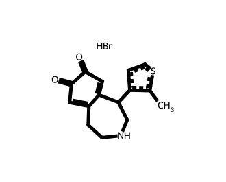 Br.Cc1sccc1C1CNCCC2=CC(=O)C(=O)C=C21